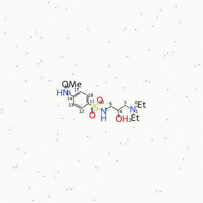 CCN(CC)CC(O)CNS(=O)(=O)c1ccc(NOC)cc1